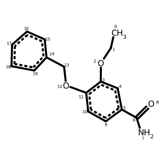 CCOc1cc(C(N)=O)ccc1OCc1ccccc1